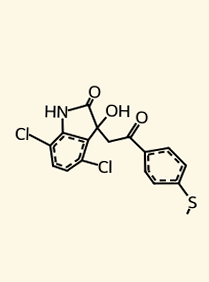 CSc1ccc(C(=O)CC2(O)C(=O)Nc3c(Cl)ccc(Cl)c32)cc1